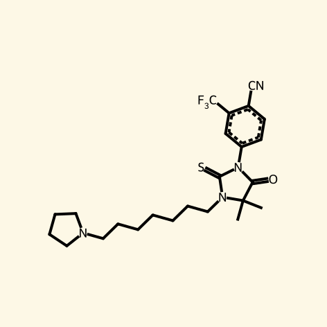 CC1(C)C(=O)N(c2ccc(C#N)c(C(F)(F)F)c2)C(=S)N1CCCCCCCN1CCCC1